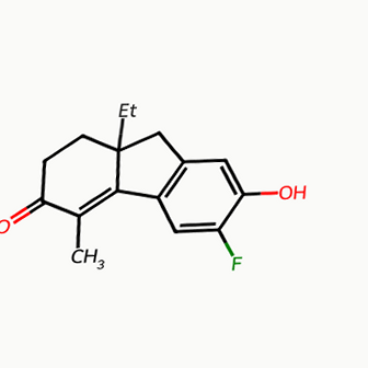 CCC12CCC(=O)C(C)=C1c1cc(F)c(O)cc1C2